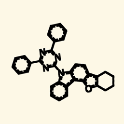 c1ccc(-c2nc(-c3ccccc3)nc(-n3c4ccccc4c4c5oc6c(c5ccc43)CCCC6)n2)cc1